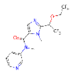 CN(C(=O)c1cnc(C(OCC(F)(F)F)C(F)(F)F)n1C)c1cccnc1